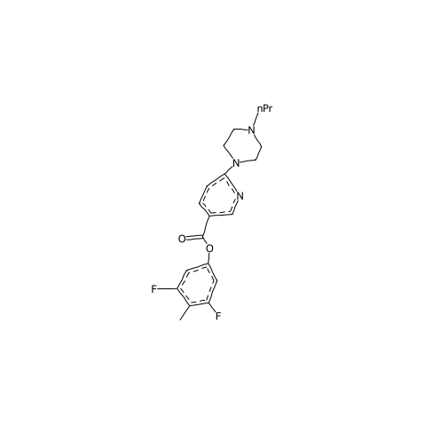 CCCN1CCN(c2ccc(C(=O)Oc3cc(F)c(C)c(F)c3)cn2)CC1